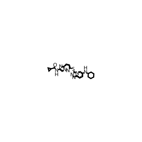 O=C(Nc1cn2nc(Sc3nnc4ccc(NC5CCCCC5)cn34)ccc2n1)C1CC1